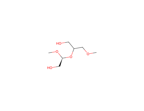 COCC(CO)O[C@@H](CO)OC